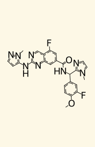 COc1ccc(C(NC(=O)c2cc(F)c3cnc(Nc4ccnn4C)nc3c2)c2nccn2C)cc1F